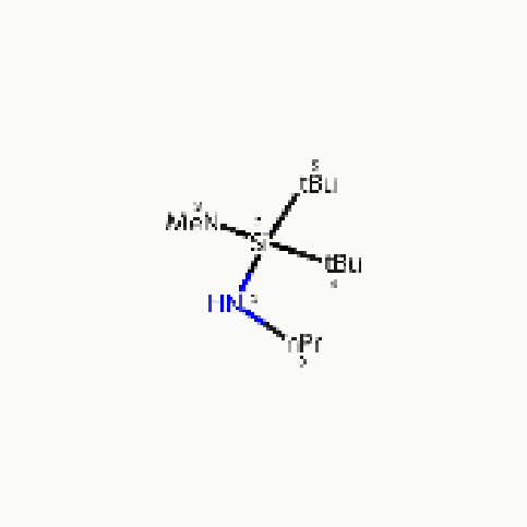 CCCN[Si](NC)(C(C)(C)C)C(C)(C)C